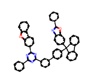 c1ccc(-c2nc(-c3cccc(-c4ccc(C5(c6ccc7nc(-c8ccccc8)oc7c6)c6ccccc6-c6ccccc65)cc4)c3)nc(-c3ccc4c(c3)oc3ccccc34)n2)cc1